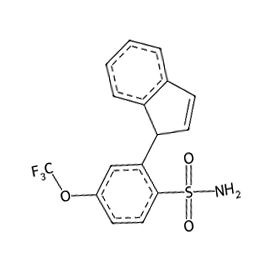 NS(=O)(=O)c1ccc(OC(F)(F)F)cc1C1C=Cc2ccccc21